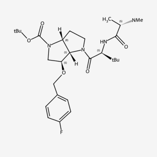 CN[C@@H](C)C(=O)N[C@H](C(=O)N1CC[C@@H]2[C@H]1[C@@H](OCc1ccc(F)cc1)CN2C(=O)OC(C)(C)C)C(C)(C)C